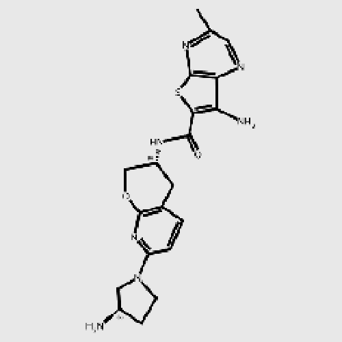 Cc1cnc2c(N)c(C(=O)N[C@H]3COc4nc(N5CC[C@@H](N)C5)ccc4C3)sc2n1